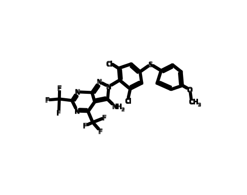 COc1ccc(Sc2cc(Cl)c(-n3nc4nc(C(F)(F)F)nc(C(F)(F)F)c4c3N)c(Cl)c2)cc1